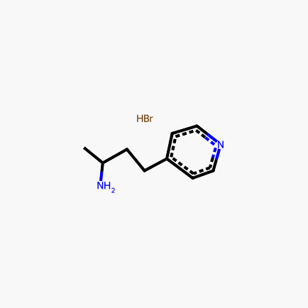 Br.CC(N)CCc1ccncc1